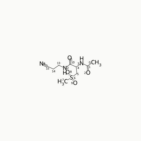 CC(=O)NC(CS(C)(=O)=O)C(=O)NCCC#N